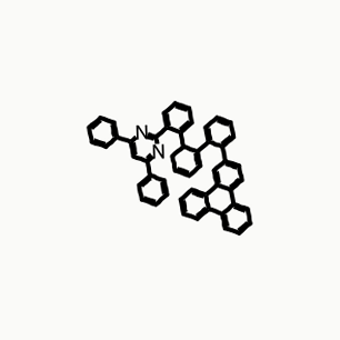 C1=CCC(c2ccccc2-c2nc(-c3ccccc3)cc(-c3ccccc3)n2)C(c2ccccc2-c2ccc3c4ccccc4c4ccccc4c3c2)=C1